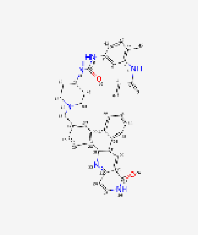 C=CC(=C)Nc1cc(NC(=O)NC2CCN(Cc3ccc(-c4nc5cc[nH]c(=O)c5cc4-c4ccccc4)cc3)CC2)ccc1C